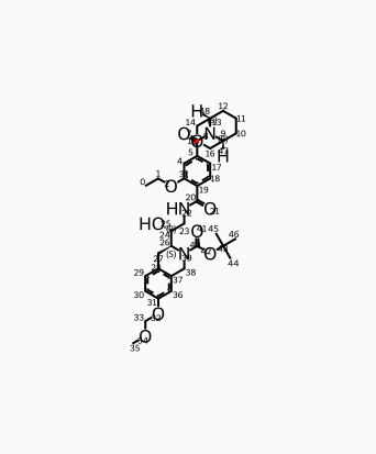 CCOc1cc(C(=O)N2[C@@H]3CCC[C@H]2COC3)ccc1C(=O)NC[C@@H](O)[C@@H]1Cc2ccc(OCOC)cc2CN1C(=O)OC(C)(C)C